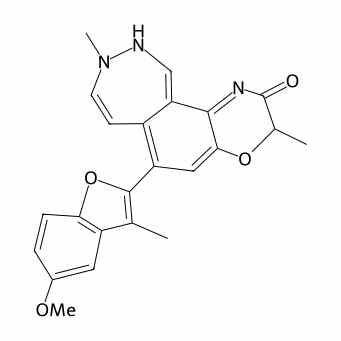 COc1ccc2oc(-c3cc4c(c5c3C=CN(C)NC=5)=NC(=O)C(C)O4)c(C)c2c1